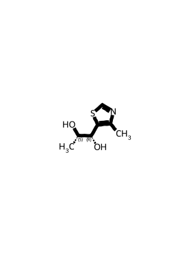 Cc1ncsc1[C@H](O)[C@H](C)O